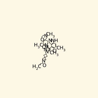 C=CC(=O)N1CC2(CC(n3nc(N4CCC5(CN(C)CCO5)CC4(C)C)c(-c4c(Cl)c(C)cc5[nH]ncc45)c3C)C2)C1